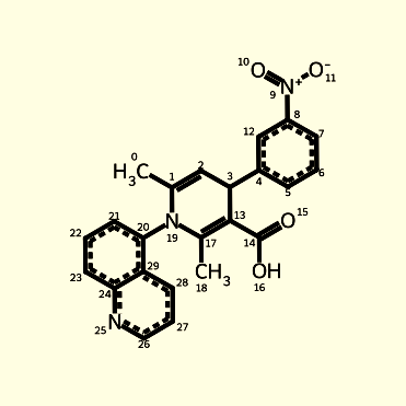 CC1=CC(c2cccc([N+](=O)[O-])c2)C(C(=O)O)=C(C)N1c1cccc2ncccc12